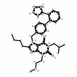 CCCCc1nc2c(c(=O)n(CC(C)C)c(=O)n2CCOC)n1Cc1ccc(-c2ccccc2-c2nnn[nH]2)cc1